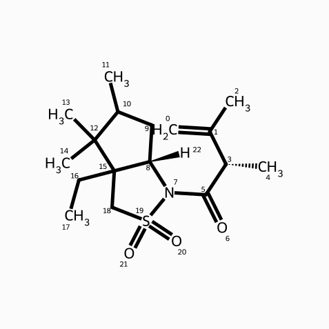 C=C(C)[C@H](C)C(=O)N1[C@H]2CC(C)C(C)(C)C2(CC)CS1(=O)=O